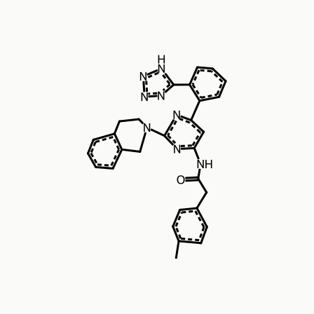 Cc1ccc(CC(=O)Nc2cc(-c3ccccc3-c3nnn[nH]3)nc(N3CCc4ccccc4C3)n2)cc1